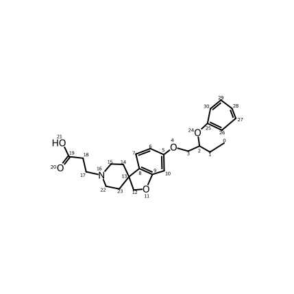 CCC(COc1ccc2c(c1)OCC21CCN(CCC(=O)O)CC1)Oc1ccccc1